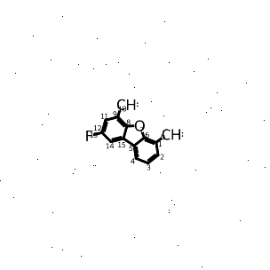 [CH]c1cccc2c1oc1c([CH])cc(F)cc12